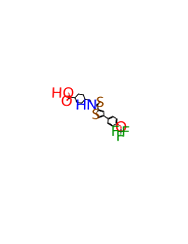 O=C(O)C1CCC(CNC(=S)c2cc(-c3ccc(OC(F)(F)F)cc3)cs2)CC1